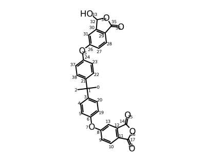 CC(C)(c1ccc(Oc2ccc3c(c2)C(=O)OC3=O)cc1)c1ccc(Oc2ccc3c(c2)C(O)OC3=O)cc1